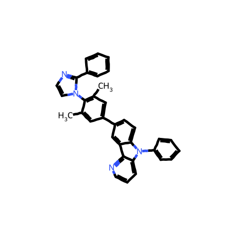 Cc1cc(-c2ccc3c(c2)c2ncccc2n3-c2ccccc2)cc(C)c1-n1ccnc1-c1ccccc1